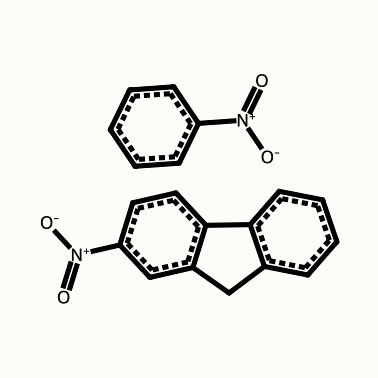 O=[N+]([O-])c1ccc2c(c1)Cc1ccccc1-2.O=[N+]([O-])c1ccccc1